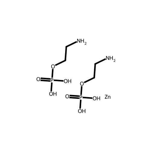 NCCOP(=O)(O)O.NCCOP(=O)(O)O.[Zn]